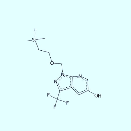 C[Si](C)(C)CCOCn1nc(C(F)(F)F)c2cc(O)cnc21